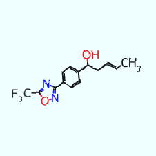 C/C=C/CC(O)c1ccc(-c2noc(C(F)(F)F)n2)cc1